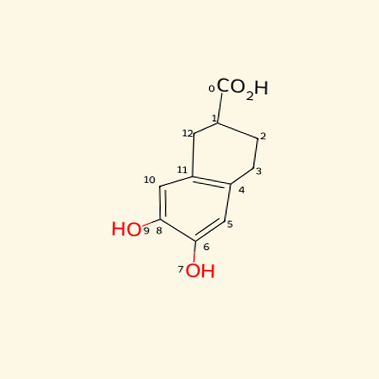 O=C(O)C1CCc2cc(O)c(O)cc2C1